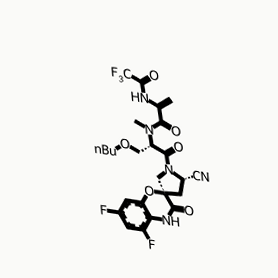 C=C(NC(=O)C(F)(F)F)C(=O)N(C)[C@@H](COCCCC)C(=O)N1C[C@@]2(C[C@H]1C#N)Oc1cc(F)cc(F)c1NC2=O